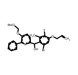 C=CCOc1cc(Br)c(C(O)c2ccc(OCOC)c(-c3ccccc3)n2)c(C)c1F